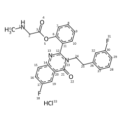 CNCC(=O)Oc1ccccc1-c1nc2ccc(F)cc2c(=O)n1CCc1cccc(F)c1.Cl